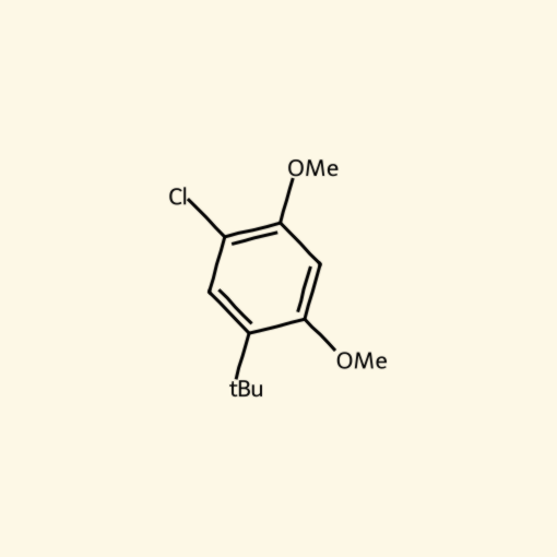 COc1cc(OC)c(C(C)(C)C)cc1Cl